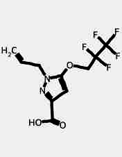 C=CCn1nc(C(=O)O)cc1OCC(F)(F)C(F)(F)F